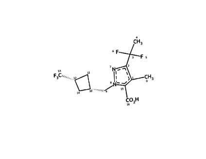 Cc1c(C(C)(F)F)nn(C[C@H]2C[C@@H](C(F)(F)F)C2)c1C(=O)O